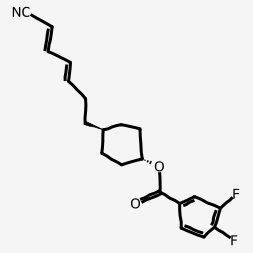 N#CC=CC=CCC[C@H]1CC[C@H](OC(=O)c2ccc(F)c(F)c2)CC1